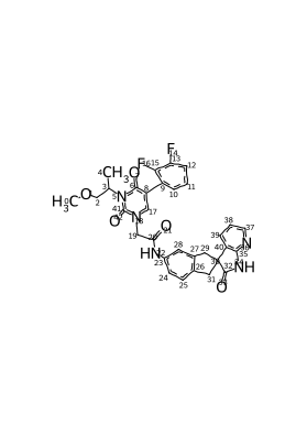 COCC(C)n1c(=O)c(-c2cccc(F)c2F)cn(CC(=O)Nc2ccc3c(c2)CC2(C3)C(=O)Nc3ncccc32)c1=O